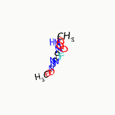 CCC(=O)NC1CN(c2ccc(-c3cnc(N4CCN(C(=O)COC)CC4)nc3)c(F)c2)C(=O)O1